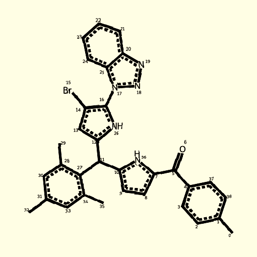 Cc1ccc(C(=O)c2ccc(C(c3cc(Br)c(-n4nnc5ccccc54)[nH]3)c3c(C)cc(C)cc3C)[nH]2)cc1